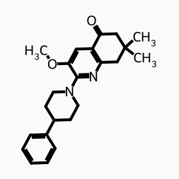 COc1cc2c(nc1N1CCC(c3ccccc3)CC1)CC(C)(C)CC2=O